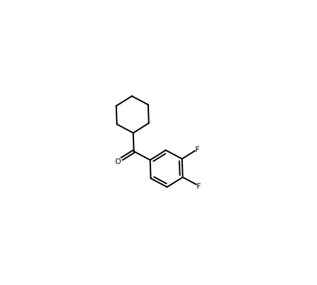 O=C(c1ccc(F)c(F)c1)C1CCCCC1